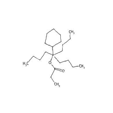 CCCCP(CCCC)(CCCC)(OC(=O)CC)C1CCCCC1